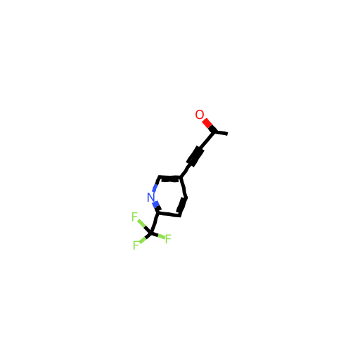 CC(=O)C#Cc1ccc(C(F)(F)F)nc1